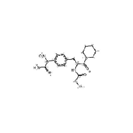 CC(C)(C)OC(=O)N[C@@H](Cc1ccc(N(C(=N)N)[N+](=O)[O-])cc1)C(=O)N1CCCCC1